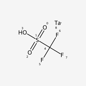 O=S(=O)(O)C(F)(F)F.[Ta]